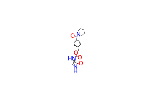 O=C(N[C@H]1CNC1=O)OCc1ccc(C(=O)N2CCCCC2)cc1